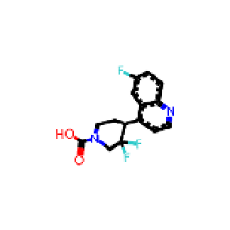 O=C(O)N1CCC(c2ccnc3ccc(F)cc23)C(F)(F)C1